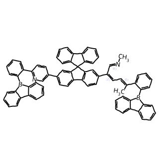 C/N=C/C(=C\C=C(/C)c1ccccc1B1c2ccccc2-c2ccccc21)c1ccc2c(c1)C1(c3ccccc3-c3ccccc31)c1cc(-c3ccc(-c4ccccc4B4c5ccccc5-c5ccccc54)nc3)ccc1-2